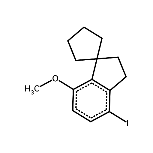 COc1ccc(I)c2c1C1(CCCC1)CC2